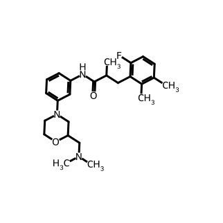 Cc1ccc(F)c(CC(C)C(=O)Nc2cccc(N3CCOC(CN(C)C)C3)c2)c1C